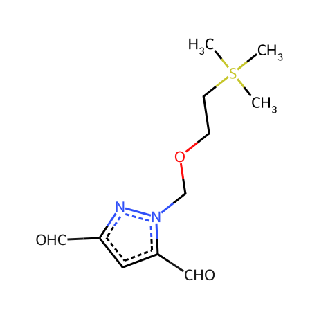 CS(C)(C)CCOCn1nc(C=O)cc1C=O